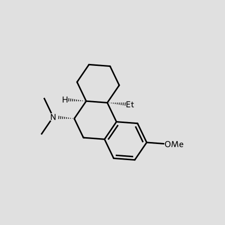 CC[C@@]12CCCC[C@@H]1[C@@H](N(C)C)Cc1ccc(OC)cc12